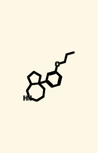 CCCOc1cccc(C23CCCNCC2CCC3)c1